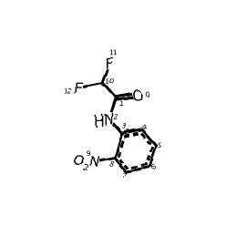 O=C(Nc1ccccc1[N+](=O)[O-])C(F)F